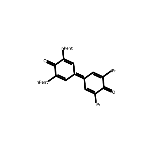 CCCCCC1=CC(=C2C=C(C(C)C)C(=O)C(C(C)C)=C2)C=C(CCCCC)C1=O